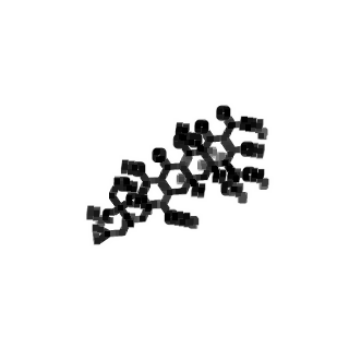 COc1c(CN(CC2CC2)C(C)(C)CC(C)(C)C)cc(O)c2c1C[C@H]1C[C@H]3[C@H](N(C)C)C(O)=C(C(N)=O)C(=O)[C@@]3(O)C(O)=C1C2=O